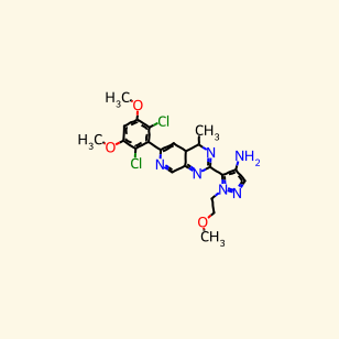 COCCn1ncc(N)c1C1=NC(C)C2C=C(c3c(Cl)c(OC)cc(OC)c3Cl)N=CC2=N1